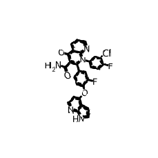 NC(=O)c1c(-c2ccc(Oc3ccnc4[nH]ccc34)c(F)c2)n(-c2ccc(F)c(Cl)c2)c2ncccc2c1=O